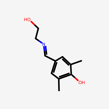 Cc1cc(/C=N/CCO)cc(C)c1O